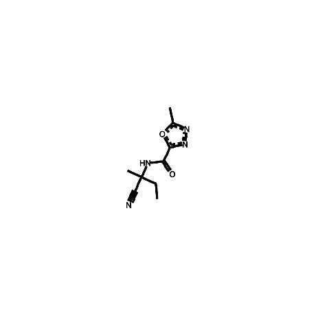 CCC(C)(C#N)NC(=O)c1nnc(C)o1